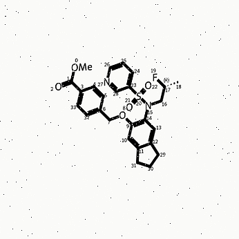 COC(=O)c1ccc(COc2cc3c(cc2N(C[C@@H](C)F)S(=O)(=O)c2cccnc2)CCC3)cc1